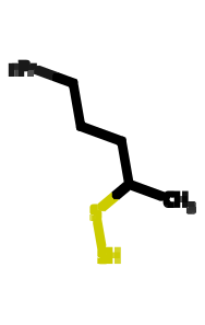 CCCCCCC(C)SS